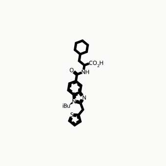 CC[C@H](C)n1c(Cc2cccs2)nc2cc(C(=O)NC(CC3CCCCC3)C(=O)O)ccc21